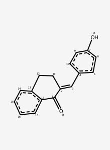 O=C1/C(=C/c2ccc(O)cc2)CCc2ccccc21